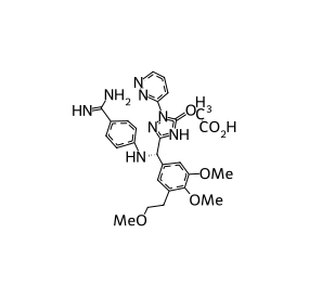 CC(=O)O.COCCc1cc([C@H](Nc2ccc(C(=N)N)cc2)c2nn(-c3cccnn3)c(=O)[nH]2)cc(OC)c1OC